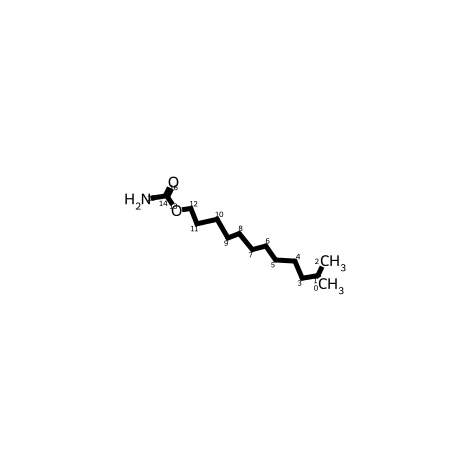 CC(C)CCCCCCCCCCOC(N)=O